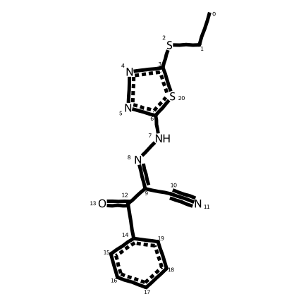 CCSc1nnc(N/N=C(\C#N)C(=O)c2ccccc2)s1